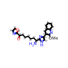 COc1nc2ccccc2cc1-c1c[nH]c([C@@H](N)CCCCCC(=O)c2ncco2)n1